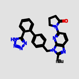 CCCCc1nc2ccc(N3CCCC3=O)nc2n1Cc1ccc(-c2ccccc2-c2nnn[nH]2)cc1